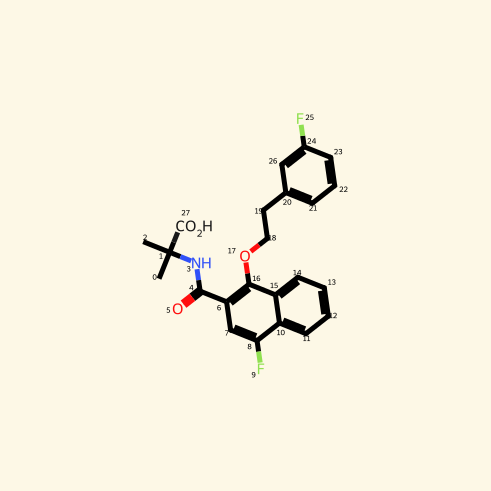 CC(C)(NC(=O)c1cc(F)c2ccccc2c1OCCc1cccc(F)c1)C(=O)O